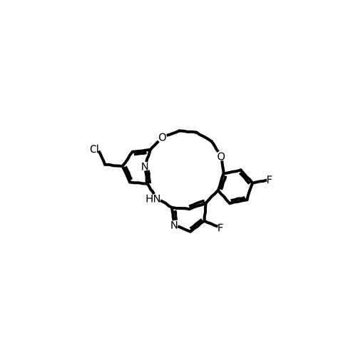 Fc1ccc2c(c1)OCCCOc1cc(CCl)cc(n1)Nc1cc-2c(F)cn1